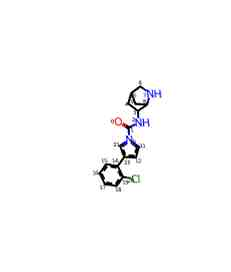 O=C(NC1CC2CNC1C2)n1ccc(-c2ccccc2Cl)c1